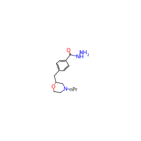 CCCN1CCOC(Cc2ccc(C(=O)NN)cc2)C1